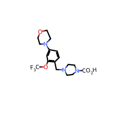 O=C(O)N1CCN(Cc2ccc(N3CCOCC3)cc2OC(F)(F)F)CC1